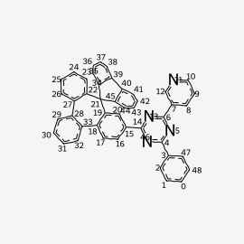 c1ccc(-c2nc(-c3cccnc3)nc(-c3ccc4c(c3)C3(c5ccccc5-c5ccccc5-4)c4ccccc4-c4ccccc43)n2)cc1